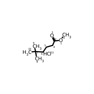 COC(=O)CCCC(C)(C)C.Cl